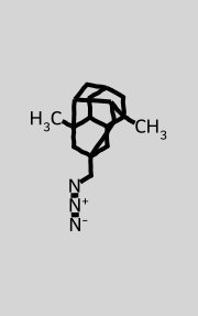 CC12CC3CC4C1CC1(CN=[N+]=[N-])CC2C(C3)C4(C)C1